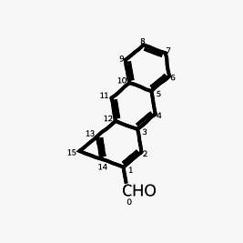 O=Cc1cc2cc3ccccc3cc2c2c1C2